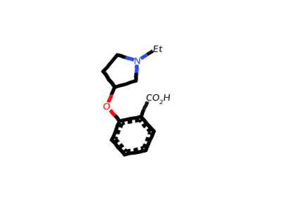 CCN1CCC(Oc2ccccc2C(=O)O)C1